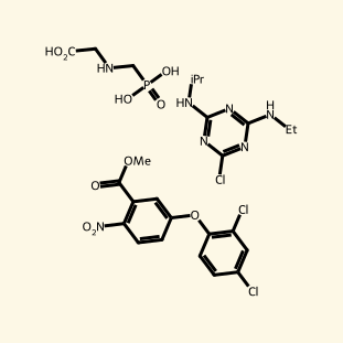 CCNc1nc(Cl)nc(NC(C)C)n1.COC(=O)c1cc(Oc2ccc(Cl)cc2Cl)ccc1[N+](=O)[O-].O=C(O)CNCP(=O)(O)O